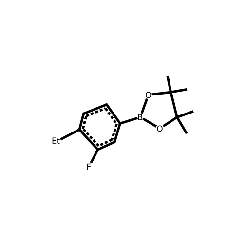 CCc1ccc(B2OC(C)(C)C(C)(C)O2)cc1F